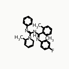 CC1=CC=CCN1C(=Nc1ccccc1)NC(=Nc1ccc(F)cc1)c1c(C)cccc1C